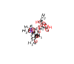 CCN(C)[C@@H]1Cc2ccc(OC)c3c2[C@@]2(C)[C@@H](O3)C(OC(=O)C[C@H](OC(=O)[C@H](C)O)C(=O)O)=CC[C@@]12O